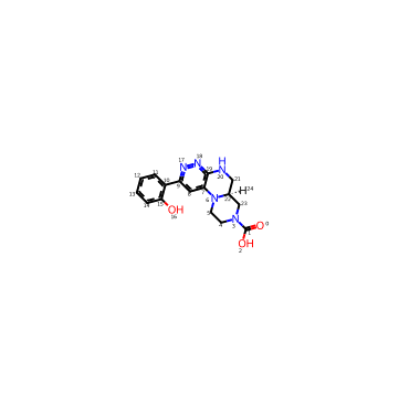 O=C(O)N1CCN2c3cc(-c4ccccc4O)nnc3NC[C@H]2C1